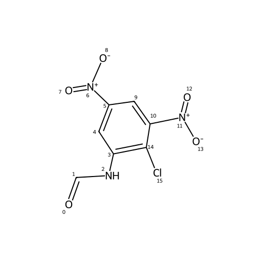 O=CNc1cc([N+](=O)[O-])cc([N+](=O)[O-])c1Cl